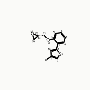 Cc1csc(-c2ccccc2OC[C@@H]2CO2)c1